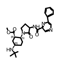 COC(=O)[C@@H]1C[C@H](NC(C)(C)C)CC[C@@H]1N1CCC(NC(=O)c2cncc(-c3ccccc3)n2)C1=O